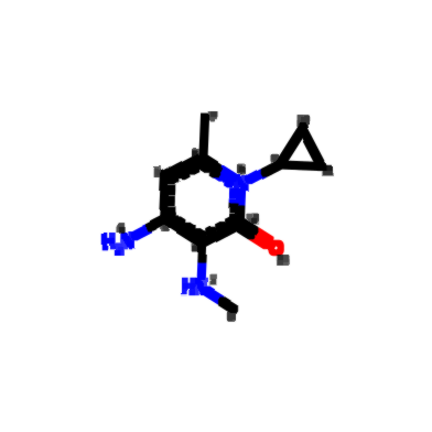 CNc1c(N)cc(C)n(C2CC2)c1=O